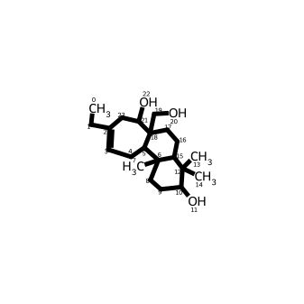 CCC1=CCC2C3(C)CCC(O)C(C)(C)C3CCC2(CO)C(O)C1